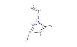 C=Cn1nc(C)cc1C